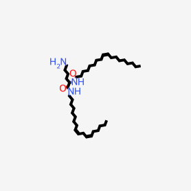 CCCCC/C=C\C/C=C\CCCCCCCCNC(=O)C(CCCCN)NC(=O)CCCCCCC/C=C\CCCCCCCC